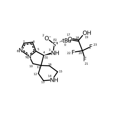 CC(C)(C)[S@@+]([O-])N[C@@H]1c2ccnn2CC12CCNCC2.O=C(O)C(F)(F)F